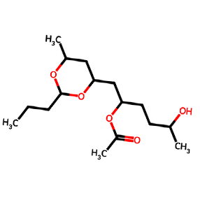 CCCC1OC(C)CC(CC(CCC(C)O)OC(C)=O)O1